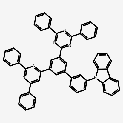 c1ccc(-c2cc(-c3cc(-c4cccc(-n5c6ccccc6c6ccccc65)c4)cc(-c4nc(-c5ccccc5)nc(-c5ccccc5)n4)c3)nc(-c3ccccc3)n2)cc1